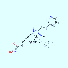 CC(C)(C)Cn1c(CCc2cccnc2)nc2cc(/C=C/C(=O)NO)ccc21